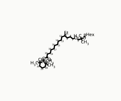 CCCCCCOC(C)(C)COCCCC(CC)CCCCCCCCCC(=O)ON1C(C)(C)CCCC1(C)C